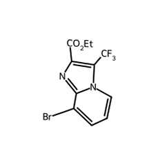 CCOC(=O)c1nc2c(Br)cccn2c1C(F)(F)F